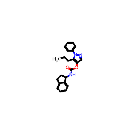 CCCc1c(OC(=O)NC2CCc3ccccc32)cnn1-c1ccccc1